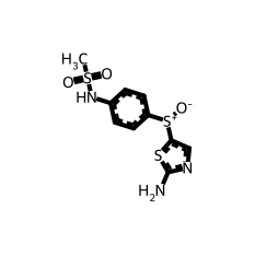 CS(=O)(=O)Nc1ccc([S+]([O-])c2cnc(N)s2)cc1